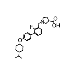 CC(C)[C@H]1CC[C@H](Oc2ccc(-c3cccc(CN4CCC(C(=O)O)C4)c3F)cc2)CC1